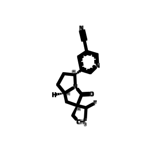 CC[C@@]1(C(F)F)C[C@H]2CC[C@H](c3cncc(C#N)c3)N2C1=O